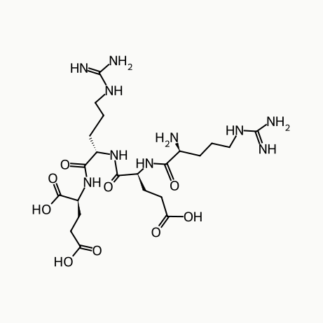 N=C(N)NCCC[C@H](NC(=O)[C@H](CCC(=O)O)NC(=O)[C@@H](N)CCCNC(=N)N)C(=O)N[C@@H](CCC(=O)O)C(=O)O